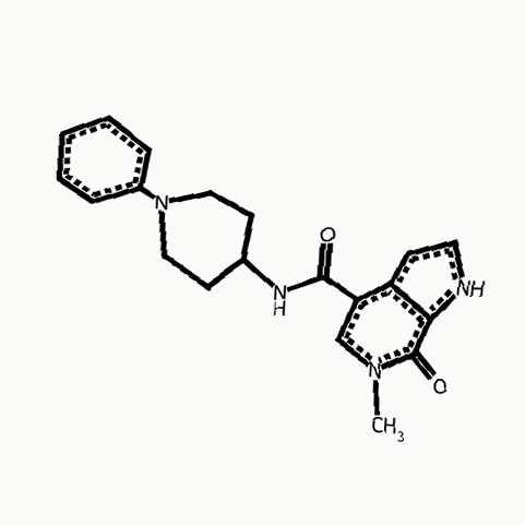 Cn1cc(C(=O)NC2CCN(c3ccccc3)CC2)c2cc[nH]c2c1=O